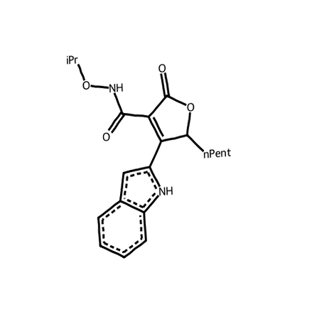 CCCCCC1OC(=O)C(C(=O)NOC(C)C)=C1c1cc2ccccc2[nH]1